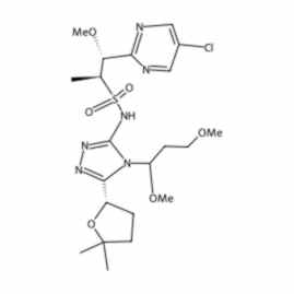 COCCC(OC)n1c(NS(=O)(=O)[C@@H](C)[C@H](OC)c2ncc(Cl)cn2)nnc1[C@@H]1CCC(C)(C)O1